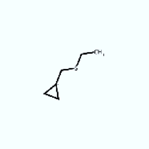 CCSC[C]1CC1